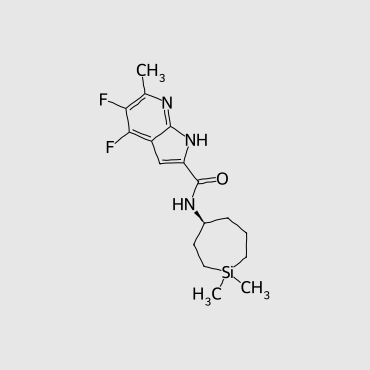 Cc1nc2[nH]c(C(=O)N[C@H]3CCC[Si](C)(C)CC3)cc2c(F)c1F